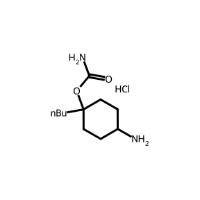 CCCCC1(OC(N)=O)CCC(N)CC1.Cl